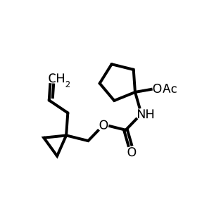 C=CCC1(COC(=O)NC2(OC(C)=O)CCCC2)CC1